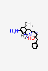 CC1C=C(N)CC(C)C1CC(N)/C=C\[C@@H](O)CC1=CCCC=C1